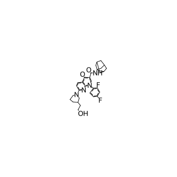 O=C(NC12CC3CC(CC(C3)C1)C2)c1cn(-c2ccc(F)cc2F)c2nc(N3CCCC(CCO)C3)ccc2c1=O